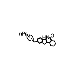 CCCN1CCN(Cc2ccc3c(c2)Cc2c-3[nH]c(=O)c3c2CCCC3)CC1